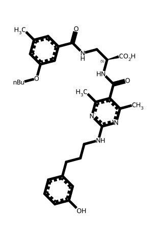 CCCCOc1cc(C)cc(C(=O)NC[C@H](NC(=O)c2c(C)nc(NCCCc3cccc(O)c3)nc2C)C(=O)O)c1